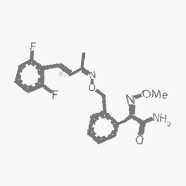 CON=C(C(N)=O)c1ccccc1CON=C(C)/C=C/c1c(F)cccc1F